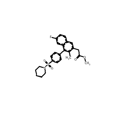 COC(=O)Cc1cc2ccc(F)cc2c(-c2ccc(S(=O)(=O)N3CCCCC3)cc2)c1C